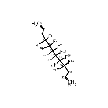 C=CCC(F)(F)C(F)(F)C(F)(F)C(F)(F)C(F)(F)C(F)(F)CC=C